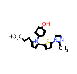 Cc1nccn1-c1ccc(-c2ccc(CCC(=O)O)n2-c2ccc(O)cc2)s1